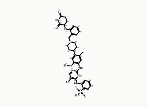 Cc1cc(Nc2ncc(Cl)c(Nc3ccccc3S(=O)(=O)C(C)C)n2)c(OC(C)C)cc1C1CCN(Cc2ccccc2NC2CCC(=O)NC2=O)CC1